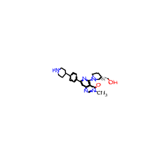 Cn1cnc2cc(-c3ccc(C4CCNCC4)cc3)nc(N3CC[C@H](CO)C3)c2c1=O